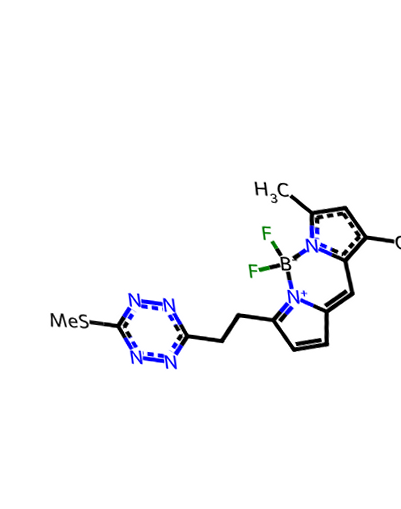 CSc1nnc(CCC2=[N+]3C(=Cc4c(C)cc(C)n4[B-]3(F)F)C=C2)nn1